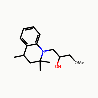 COCC(O)CN1c2ccccc2C(C)CC1(C)C